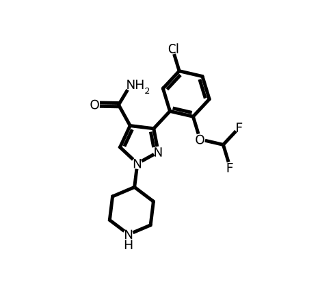 NC(=O)c1cn(C2CCNCC2)nc1-c1cc(Cl)ccc1OC(F)F